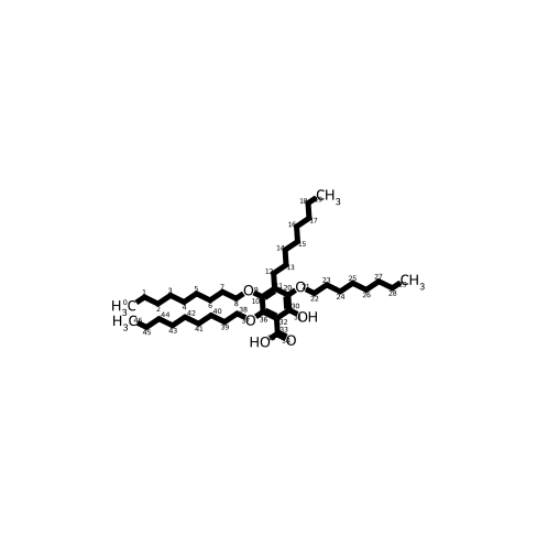 CCCCCCCCCOc1c(CCCCCCCC)c(OCCCCCCCC)c(O)c(C(=O)O)c1OCCCCCCCCC